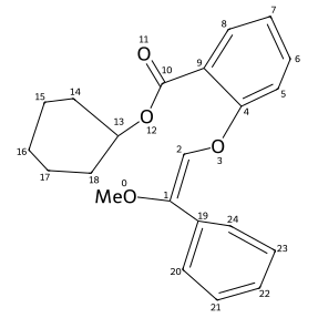 COC(=COc1ccccc1C(=O)OC1CCCCC1)c1ccccc1